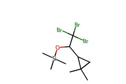 CC1(C)CC1C(O[Si](C)(C)C)C(Br)(Br)Br